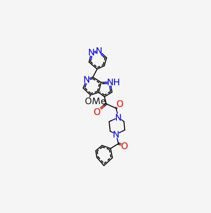 COc1cnc(-c2ccnnc2)c2[nH]cc(C(=O)C(=O)N3CCN(C(=O)c4ccccc4)CC3)c12